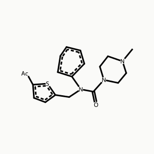 CC(=O)c1ccc(CN(C(=O)N2CCN(C)CC2)c2ccccc2)s1